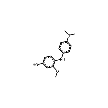 COc1cc(O)ccc1Nc1ccc(N(C)C)cc1